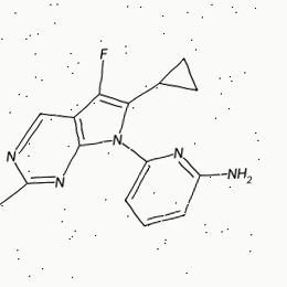 Nc1cccc(-n2c(C3CC3)c(F)c3cnc(Cl)nc32)n1